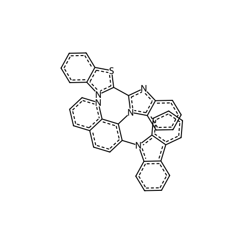 c1cnc2c(-n3c(-c4nc5ccccc5s4)nc4ccccc43)c(-n3c4ccccc4c4ccccc43)ccc2c1